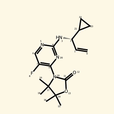 C=C[C@H](Nc1ncc(F)c(N2C(=O)OC(C)(C)C2(C)C)n1)C1CC1